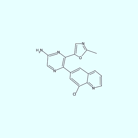 Cc1ncc(-c2nc(N)cnc2-c2cc(Cl)c3ncccc3c2)o1